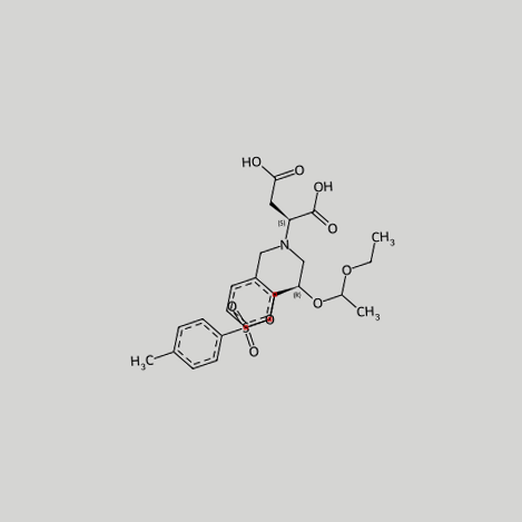 CCOC(C)O[C@@H](COS(=O)(=O)c1ccc(C)cc1)CN(Cc1ccccc1)[C@@H](CC(=O)O)C(=O)O